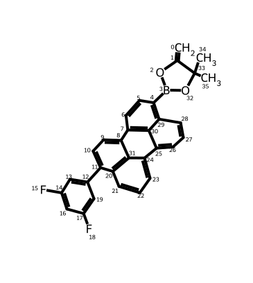 C=C1OB(c2ccc3c4ccc(-c5cc(F)cc(F)c5)c5cccc(c6cccc2c63)c54)OC1(C)C